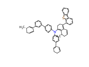 CC1CC=CC2=C(c3cccc4c3sc3ccccc34)CCC(N(c3ccc(C4=CCCC=C4)cc3)c3ccc(-c4cccc(C5=C[C@@H](C)CC=C5)c4)cc3)=C21